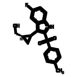 Cc1ccc(S(=O)(=O)c2[nH]c3ccc(F)cc3c2C2C[C@@H]2CO)cc1